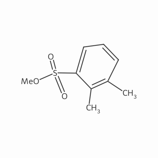 COS(=O)(=O)c1cccc(C)c1C